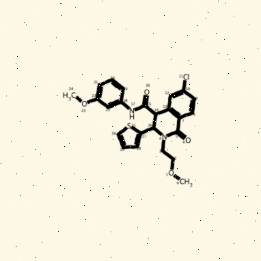 COCCN1C(=O)c2ccc(Cl)cc2C(C(=O)Nc2cccc(OC)c2)C1c1cccs1